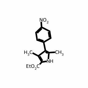 CCOC(=O)c1[nH]c(C)c(-c2ccc([N+](=O)[O-])cc2)c1C